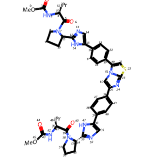 COC(=O)N[C@H](C(=O)N1CCCC1c1ncc(-c2ccc(-c3csc4nc(-c5ccc(-c6cnc([C@@H]7CCCN7C(=O)[C@@H](NC(=O)OC)C(C)C)[nH]6)cc5)cn34)cc2)[nH]1)C(C)C